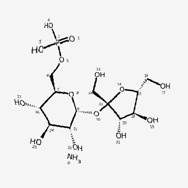 N.O=P(O)(O)OC[C@H]1O[C@H](O[C@]2(CO)O[C@H](CO)[C@@H](O)[C@@H]2O)[C@H](O)[C@@H](O)[C@@H]1O